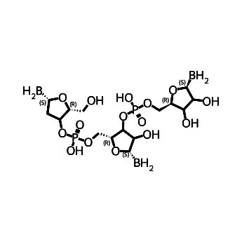 B[C@@H]1O[C@H](COP(=O)(O)OC2C(O)[C@H](B)O[C@@H]2COP(=O)(O)OC2C[C@H](B)O[C@@H]2CO)C(O)C1O